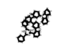 c1ccc(C2N=C(c3cccc4oc5ccc(-c6cccc7sc8ccc(-n9c%10ccccc%10c%10ccccc%109)cc8c67)cc5c34)NC(c3ccccc3)N2)cc1